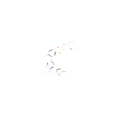 Cc1cc(-c2cc(-c3cc(S(=O)(=O)N4CC(C)C(O)C4)ccc3C)cnc2N)on1